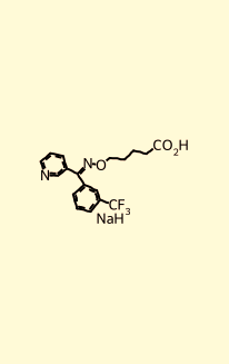 O=C(O)CCCCON=C(c1cccnc1)c1cccc(C(F)(F)F)c1.[NaH]